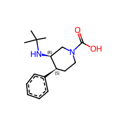 CC(C)(C)N[C@H]1CN(C(=O)O)CC[C@H]1c1ccccc1